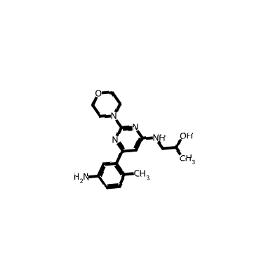 Cc1ccc(N)cc1-c1cc(NCC(C)O)nc(N2CCOCC2)n1